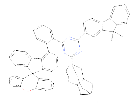 CC1(C)c2ccccc2-c2ccc(-c3nc(-c4ccccc4-c4cccc5c4-c4ccccc4C54c5ccccc5Oc5ccccc54)nc(C45CCC6C[C@H](CC6C4)C5)n3)cc21